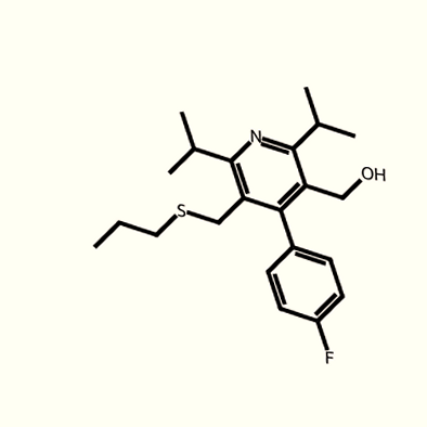 CCCSCc1c(C(C)C)nc(C(C)C)c(CO)c1-c1ccc(F)cc1